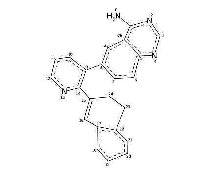 Nc1ncnc2ccc(-c3cccnc3C3=Cc4ccccc4CC3)cc12